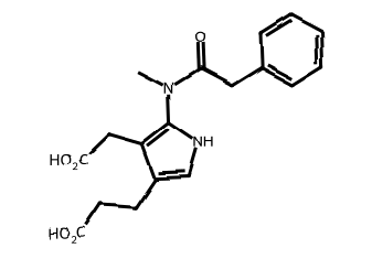 CN(C(=O)Cc1ccccc1)c1[nH]cc(CCC(=O)O)c1CC(=O)O